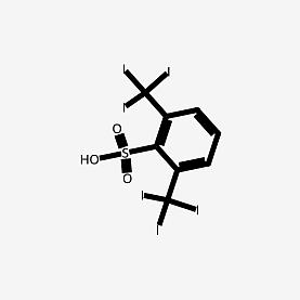 O=S(=O)(O)c1c(C(I)(I)I)cccc1C(I)(I)I